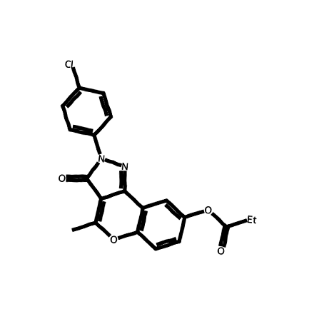 CCC(=O)Oc1ccc2oc(C)c3c(=O)n(-c4ccc(Cl)cc4)nc-3c2c1